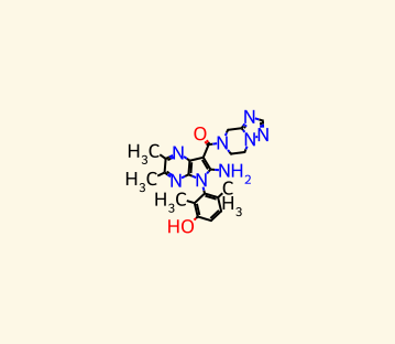 Cc1ccc(O)c(C)c1-n1c(N)c(C(=O)N2CCn3ncnc3C2)c2nc(C)c(C)nc21